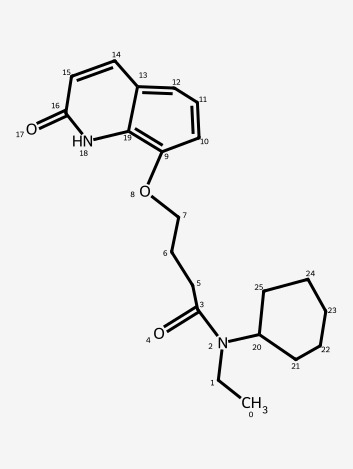 CCN(C(=O)CCCOc1cccc2ccc(=O)[nH]c12)C1CCCCC1